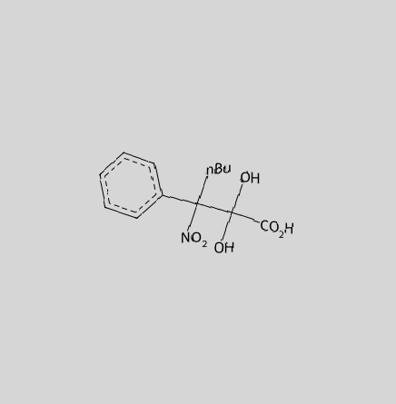 CCCCC(c1ccccc1)([N+](=O)[O-])C(O)(O)C(=O)O